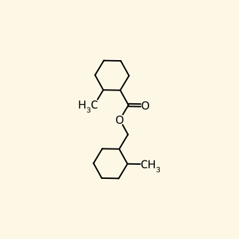 CC1CCCCC1COC(=O)C1CCCCC1C